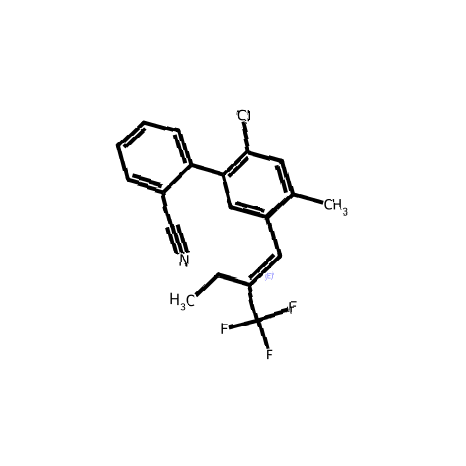 CC/C(=C\c1cc(-c2ccccc2C#N)c(Cl)cc1C)C(F)(F)F